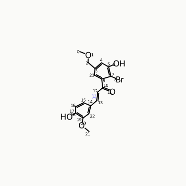 COCc1cc(O)c(Br)c(C(=O)/C=C/c2ccc(O)c(OC)c2)c1